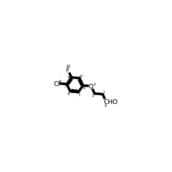 O=CCCOc1ccc(Cl)c(F)c1